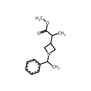 COC(=O)C(C)C1CN(C(C)c2ccccc2)C1